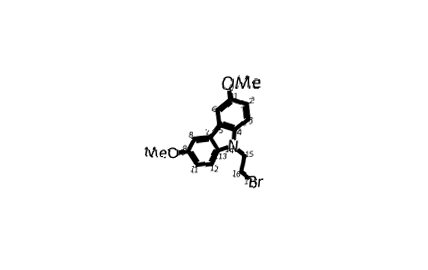 COc1ccc2c(c1)c1cc(OC)ccc1n2CCBr